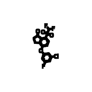 O=C1CCc2c(Oc3cc(F)cc(Cl)c3)ccc(S(=O)(=O)C(F)F)c21